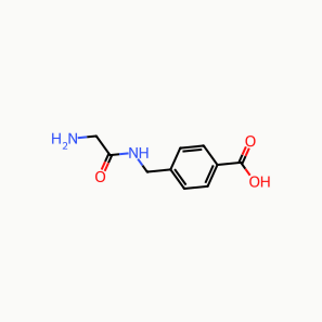 NCC(=O)NCc1ccc(C(=O)O)cc1